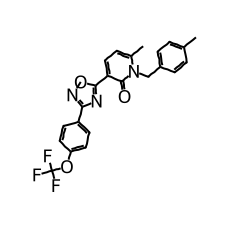 Cc1ccc(Cn2c(C)ccc(-c3nc(-c4ccc(OC(F)(F)F)cc4)no3)c2=O)cc1